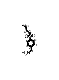 NCc1ccc(S(=O)(=O)OCCF)cc1